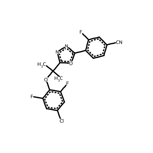 CC(C)(Oc1c(F)cc(Cl)cc1F)c1nnc(-c2ccc(C#N)cc2F)o1